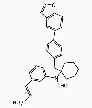 O=CN(c1cccc(/C=C/C(=O)O)c1)C1(Cc2ccc(-c3ccc4oncc4c3)cc2)CCCCC1